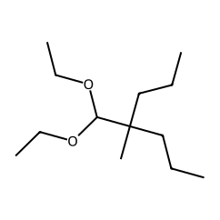 CCCC(C)(CCC)C(OCC)OCC